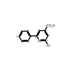 O=C(O)c1cc(Cl)nc(-c2ccccc2)c1